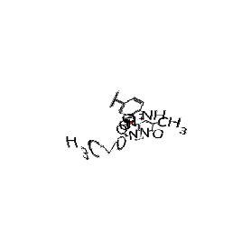 CCCCOC(=O)N1CCn2c1c([N+](=O)[O-])c(Nc1ccc(I)cc1F)c(C)c2=O